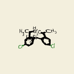 C=C(C)c1cc(Cl)ccc1[SiH2]c1ccc(Cl)cc1C(=C)C